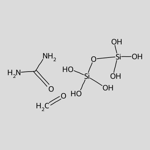 C=O.NC(N)=O.O[Si](O)(O)O[Si](O)(O)O